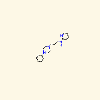 c1ccc(N2CCN(CCCNc3ccccn3)CC2)cc1